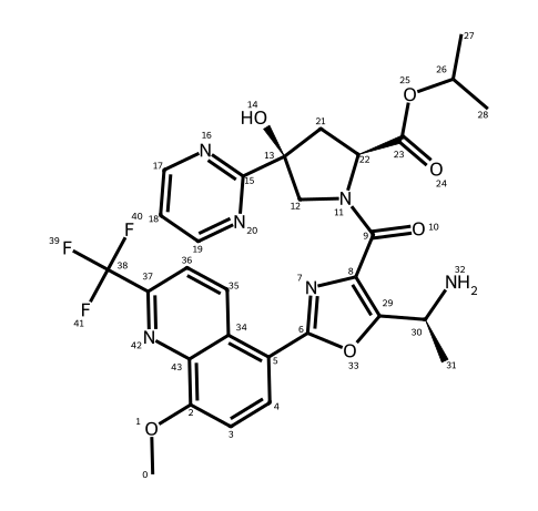 COc1ccc(-c2nc(C(=O)N3C[C@](O)(c4ncccn4)C[C@H]3C(=O)OC(C)C)c([C@H](C)N)o2)c2ccc(C(F)(F)F)nc12